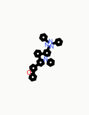 c1ccc(-c2nc(-c3ccccc3)nc(-c3ccc4c(c3)-c3ccccc3-c3cc(-c5ccc6oc7ccccc7c6c5)ccc3N4c3ccccc3)n2)cc1